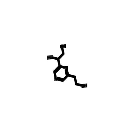 OCCc1cncc(C(O)CO)n1